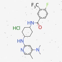 Cc1cnc(NC2CCC(NC(=O)c3ccc(F)c(C(F)(F)F)c3)CC2)cc1N(C)C.Cl